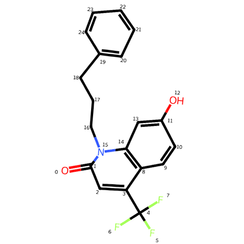 O=c1cc(C(F)(F)F)c2ccc(O)cc2n1CCCc1ccccc1